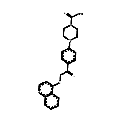 CC(C)(C)C(=O)N1CCN(c2ccc(C(=O)CSc3ccnc4ccccc34)cc2)CC1